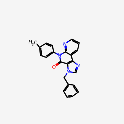 Cc1ccc(-n2c(=O)c3c(ncn3Cc3ccccc3)c3cccnc32)cc1